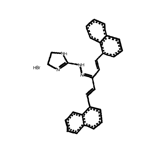 Br.C(=C\c1cccc2ccccc12)/C(/C=C/c1cccc2ccccc12)=NNC1=NCCN1